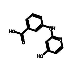 O=C(O)c1cccc(Nc2cc(O)ccn2)c1